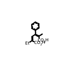 CCC(=CC(=C(C)C(=O)O)c1ccccc1)C(=O)O